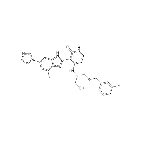 Cc1cccc(CSC[C@H](CO)Nc2cc[nH]c(=O)c2-c2nc3c(C)cc(-n4ccnc4)cc3[nH]2)c1